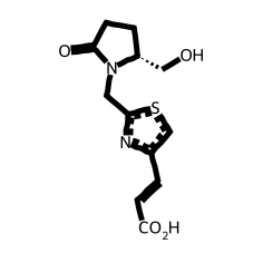 O=C(O)C=Cc1csc(CN2C(=O)CC[C@@H]2CO)n1